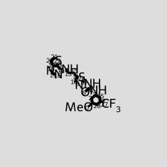 COc1cc(NC(=O)Nc2ncc(CCNc3ncnc4ccsc34)s2)cc(C(F)(F)F)c1